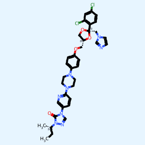 CC[C@H](C)n1ncn(-c2ccc(N3CCN(c4ccc(OC[C@@H]5CO[C@@](Cn6ccnc6)(c6ccc(Cl)cc6Cl)O5)cc4)CC3)nc2)c1=O